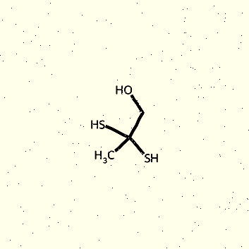 CC(S)(S)CO